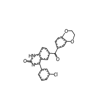 O=C(c1ccc2c(c1)OCCO2)c1ccc2[nH]c(=O)nc(-c3cccc(Cl)c3)c2c1